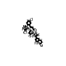 C[C@H]1Cc2nc(-c3cc(Cl)ccc3-n3cc(Cl)nn3)cc(=O)n2[C@@H]1c1nc(F)c(-c2ccc3c(c2)CCC(=O)N3)[nH]1